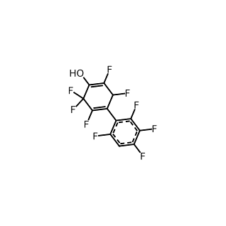 OC1=C(F)C(F)C(c2c(F)cc(F)c(F)c2F)=C(F)C1(F)F